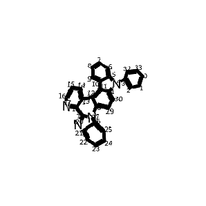 c1ccc(-n2c3ccccc3c3c4c5cccnc5c5nc6ccccc6n5c4ccc32)cc1